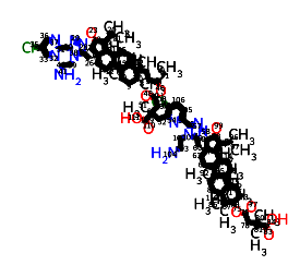 CC[C@H](CC[C@@]1(C)[C@H](C)CC[C@]2(C)[C@@H]1CC[C@@H]1C3=C(C(C)C)C(=O)C[C@]3(Cc3nnc(-c4ncc(Cl)cn4)n3CCN)CC[C@]12C)OC(=O)CC(C)(Cc1nc(-c2nnc(C[C@@]34CC[C@]5(C)[C@H](CC[C@@H]6[C@@]7(C)CC[C@H](OC(=O)CC(C)(C)C(=O)O)C(C)(C)[C@@H]7CC[C@]65C)C3=C(C(C)C)C(=O)C4)n2CCN)ccc1Cl)C(=O)O